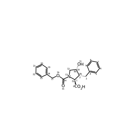 O=C(O)[C@@H]1[C@@H](Cc2ccccc2)[C@@H](O)CN1C(=O)OCc1ccccc1